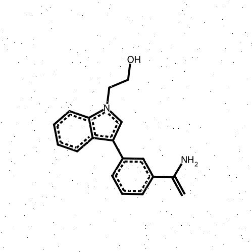 C=C(N)c1cccc(-c2cn(CCO)c3ccccc23)c1